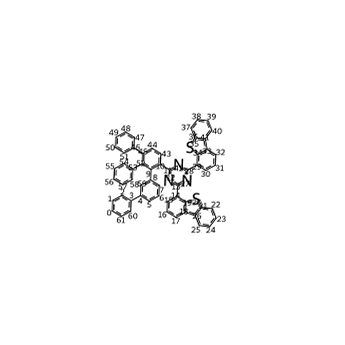 c1ccc(-c2cccc(-c3c(-c4nc(-c5cccc6c5sc5ccccc56)nc(-c5cccc6c5sc5ccccc56)n4)ccc(-c4ccccc4)c3-c3ccccc3)c2)cc1